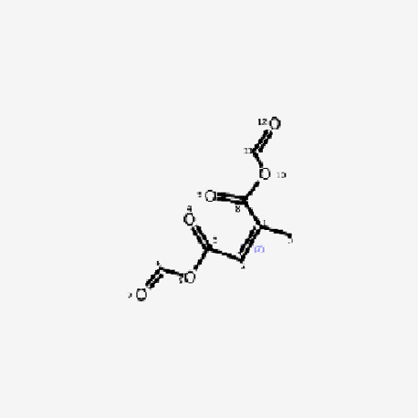 C/C(=C/C(=O)OC=O)C(=O)OC=O